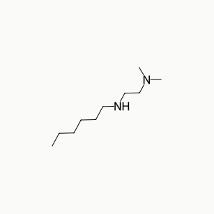 CCCCCCNCCN(C)C